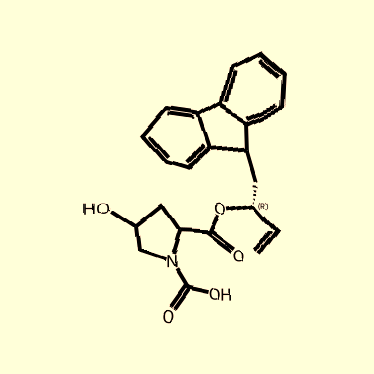 C=C[C@@H](CC1c2ccccc2-c2ccccc21)OC(=O)C1CC(O)CN1C(=O)O